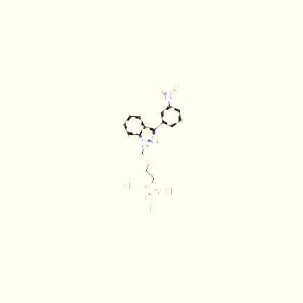 C[Si](C)(C)CCOCn1nc(-c2cccc([N+](=O)[O-])c2)c2ccccc21